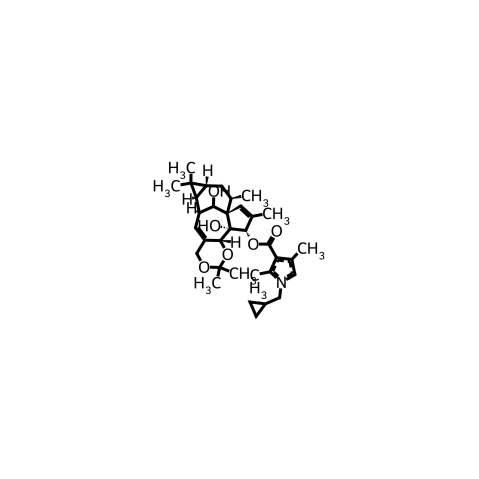 CC1=C[C@]23C(O)[C@@H](C=C4COC(C)(C)O[C@H]4[C@]2(O)[C@H]1OC(=O)c1c(C)cn(CC2CC2)c1C)[C@H]1[C@@H](C[C@H]3C)C1(C)C